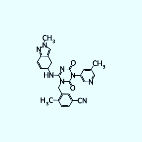 Cc1cncc(-n2c(=O)nc(NC3C=Cc4nn(C)cc4C3)n(Cc3cc(C#N)ccc3C)c2=O)c1